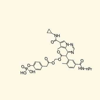 CCCNC(=O)c1ccc(C)c(C(C(=O)OCOC(=O)Cc2ccc(OP(=O)(O)O)cc2)c2ncnn3cc(C(=O)NC4CC4)c(C)c23)c1